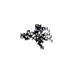 COC[C@@H](O[C@H](/C=C/P(=O)(OC)OC)COP(OCCC#N)N(C(C)C)C(C)C)n1ccc(=O)[nH]c1=O